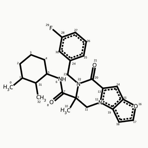 CC1CCCC(NC(=O)C2(C)Cn3c(cc4occc43)C(=O)N2Cc2cccc(F)c2)C1C